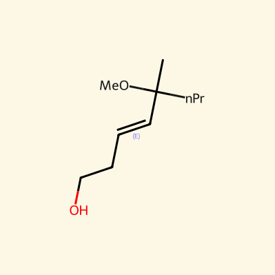 CCCC(C)(/C=C/CCO)OC